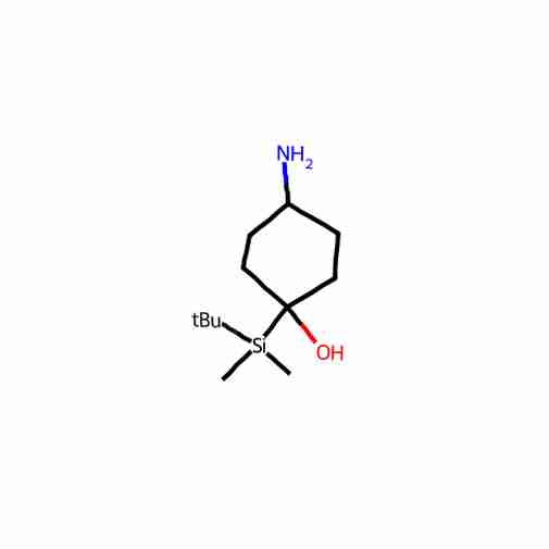 CC(C)(C)[Si](C)(C)C1(O)CCC(N)CC1